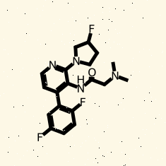 CN(C)CC(=O)Nc1c(-c2cc(F)ccc2F)ccnc1N1CCC(F)C1